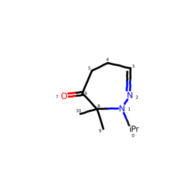 CC(C)N1N=CCCC(=O)C1(C)C